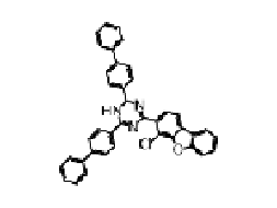 Clc1c(C2=NC(c3ccc(-c4ccccc4)cc3)NC(c3ccc(-c4ccccc4)cc3)=N2)ccc2c1oc1ccccc12